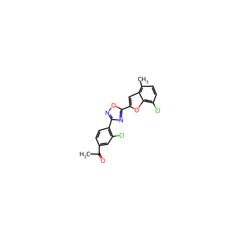 CC(=O)c1ccc(-c2noc(-c3cc4c(C)ccc(Cl)c4o3)n2)c(Cl)c1